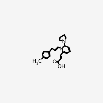 Cc1ccc(C/C=C/N2C(/C=C/C(=O)O)=CC=CC2N2CCCC2)cc1